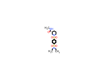 CCN(CC)S(=O)(=O)c1ccc(S(=O)(=O)N2CCC[C@@H](C(=O)NC)C2)cc1